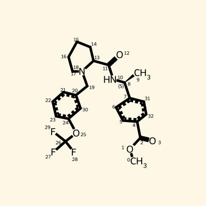 COC(=O)c1ccc([C@H](C)NC(=O)C2CCCCN2Cc2cccc(OC(F)(F)F)c2)cc1